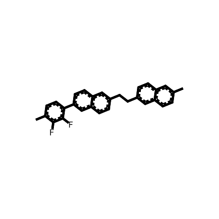 Cc1ccc2cc(CCc3ccc4cc(-c5ccc(C)c(F)c5F)ccc4c3)ccc2c1